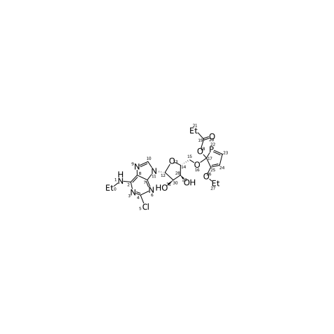 CCNc1nc(Cl)nc2c1ncn2[C@@H]1O[C@H](COC2(OC(=O)CC)P=CC=C2OCC)[C@@H](O)[C@H]1O